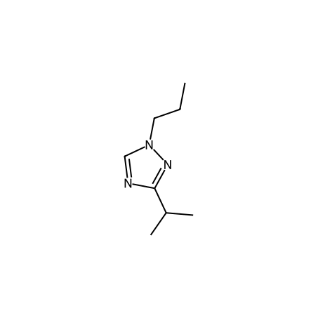 CCCn1cnc(C(C)C)n1